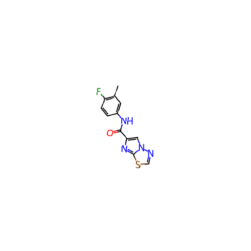 Cc1cc(NC(=O)c2cn3ncsc3n2)ccc1F